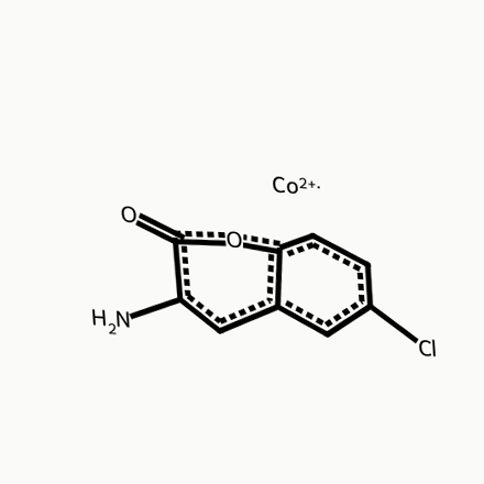 Nc1cc2cc(Cl)ccc2oc1=O.[Co+2]